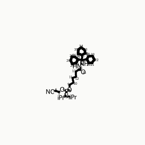 CC(C)N(C(C)C)P(OCCC#N)OCCCCCC(=O)NNC(c1ccccc1)(c1ccccc1)c1ccccc1